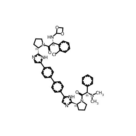 CN(C)[C@@H](C(=O)N1CCC[C@H]1c1ncc(-c2ccc(-c3ccc(-c4cnc([C@@H]5CCCN5C(=O)[C@H](NC5OCO5)c5ccccc5Cl)[nH]4)cc3)cc2)[nH]1)c1ccccc1